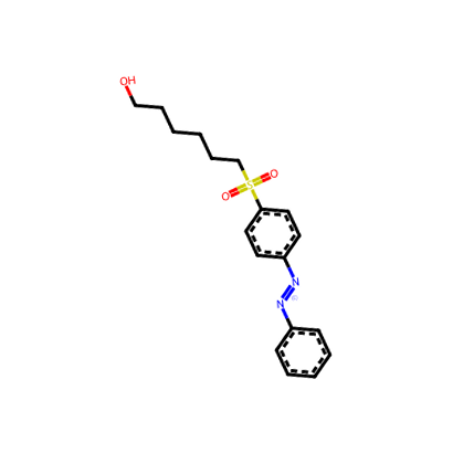 O=S(=O)(CCCCCCO)c1ccc(/N=N/c2ccccc2)cc1